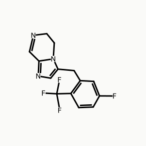 Fc1ccc(C(F)(F)F)c(Cc2cnc3n2CCN=C3)c1